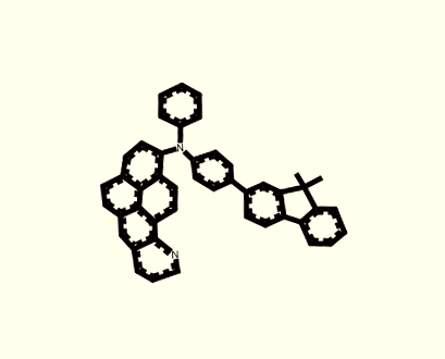 CC1(C)c2ccccc2-c2ccc(-c3ccc(N(c4ccccc4)c4ccc5ccc6cc7cccnc7c7ccc4c5c67)cc3)cc21